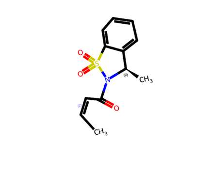 C/C=C\C(=O)N1[C@H](C)c2ccccc2S1(=O)=O